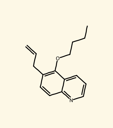 C=CCc1ccc2ncccc2c1OCCCC